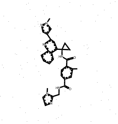 Cc1cc(C(=O)NCc2nccn2C)ccc1C(=O)NC1(c2cc(-c3cnn(C)c3)nc3ccccc23)CC1